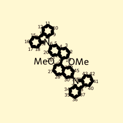 COc1ccc2cc(-n3c4ccccc4c4ccccc43)ccc2c1-c1c(OC)ccc2cc(-n3c4ccccc4c4ccccc43)ccc12